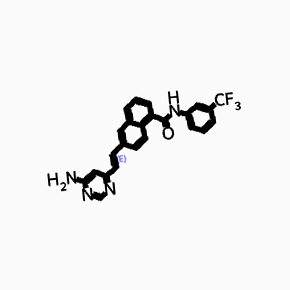 Nc1cc(/C=C/c2ccc3c(C(=O)Nc4cccc(C(F)(F)F)c4)cccc3c2)ncn1